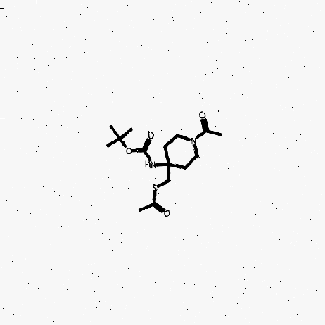 CC(=O)SCC1(NC(=O)OC(C)(C)C)CCN(C(C)=O)CC1